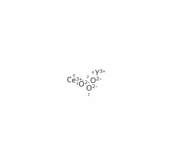 [Ce+3].[O-2].[O-2].[O-2].[Y+3]